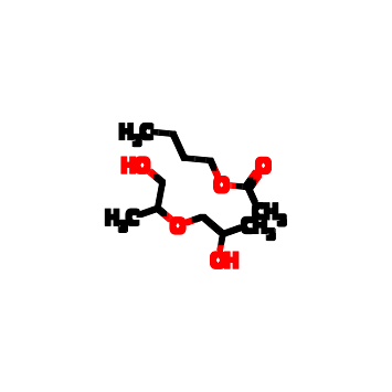 CC(O)COC(C)CO.CCCCOC(C)=O